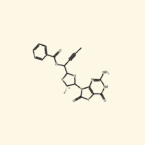 CC#CC(OC(=O)c1ccccc1)C1OC(n2c(=O)sc3c(=O)[nH]c(N)nc32)[C@H](C)S1